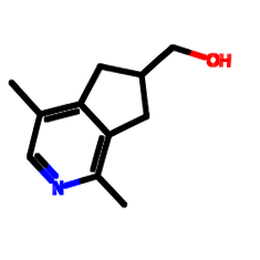 Cc1cnc(C)c2c1CC(CO)C2